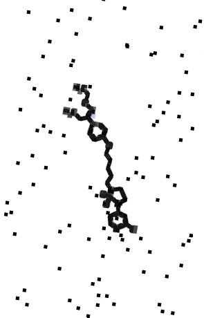 CCO/N=C(\CC)c1ccc(OCCCCCN2CCN(c3ccnc(Cl)c3)S2(=O)=O)cc1